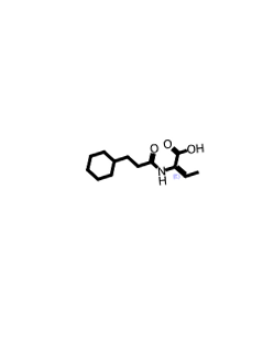 C/C=C(/NC(=O)CCC1CCCCC1)C(=O)O